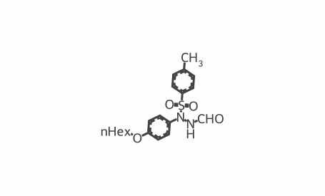 CCCCCCOc1ccc(N(NC=O)S(=O)(=O)c2ccc(C)cc2)cc1